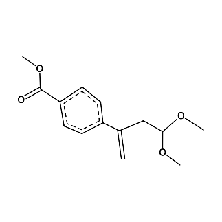 C=C(CC(OC)OC)c1ccc(C(=O)OC)cc1